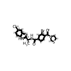 C[C@H](NC(=O)c1ccc(C(=O)N2CCSC2)c(Br)c1)c1nc2cc(Cl)ccc2[nH]1